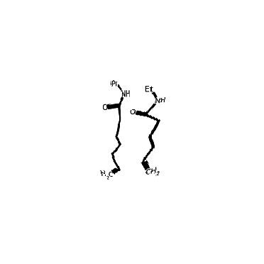 C=CCCCC(=O)NCC.C=CCCCCC(=O)NC(C)C